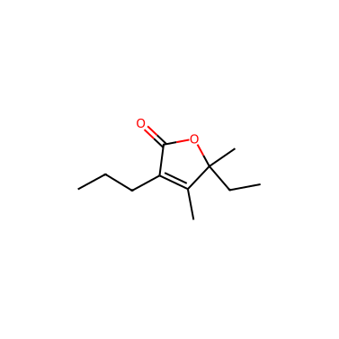 CCCC1=C(C)C(C)(CC)OC1=O